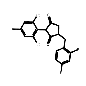 CCc1cc(C)cc(CC)c1C1C(=O)CC(Cc2ccc(F)cc2F)C1=O